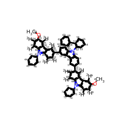 [2H]c1c(OC)c([2H])c2c3c([2H])c(-c4ccc5c(c4)c4cc(-c6c([2H])c([2H])c7c(c6[2H])c6c([2H])c(OC)c([2H])c([2H])c6n7-c6ccccc6)ccc4n5-c4ccccc4-c4ccccc4)c([2H])c([2H])c3n(-c3ccccc3)c2c1[2H]